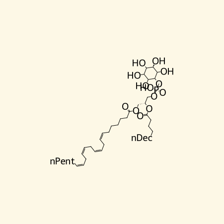 CCCCC/C=C\C/C=C\C/C=C\C/C=C\CCCCCC(=O)OC[C@H](COP(=O)(O)OC1C(O)C(O)C(O)[C@@H](O)C1O)OC(=O)CCCCCCCCCCCCC